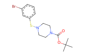 CC(C)(C)OC(=O)N1CCN(Sc2cccc(Br)c2)CC1